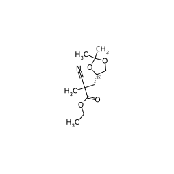 CCOC(=O)C(C)(C#N)C[C@H]1COC(C)(C)O1